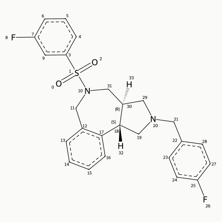 O=S(=O)(c1cccc(F)c1)N1Cc2ccccc2[C@H]2CN(Cc3ccc(F)cc3)C[C@@H]2C1